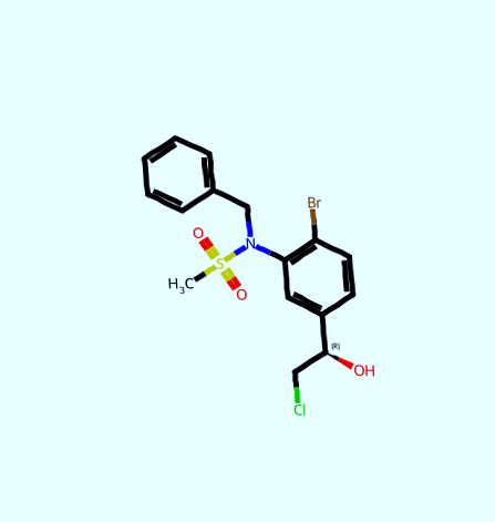 CS(=O)(=O)N(Cc1ccccc1)c1cc([C@@H](O)CCl)ccc1Br